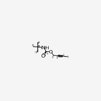 CC#CCOC(=O)NC(C)(C)C